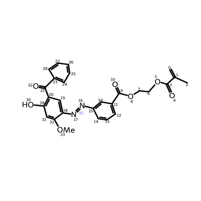 C=C(C)C(=O)OCCOC(=O)c1cccc(/N=N/c2cc(C(=O)c3ccccc3)c(O)cc2OC)c1